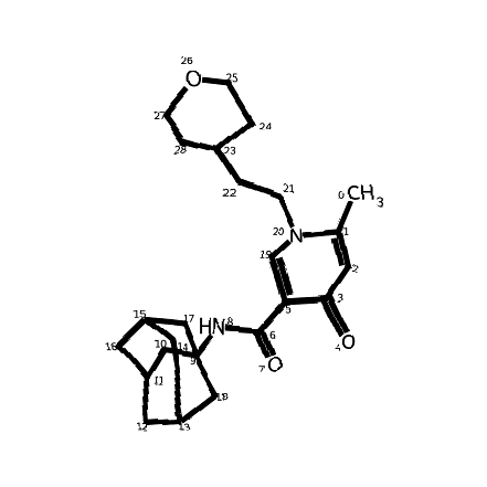 Cc1cc(=O)c(C(=O)NC23CC4CC(CC(C4)C2)C3)cn1CCC1CCOCC1